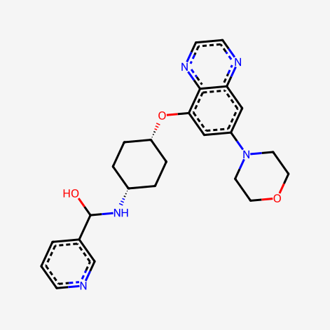 OC(N[C@H]1CC[C@@H](Oc2cc(N3CCOCC3)cc3nccnc23)CC1)c1cccnc1